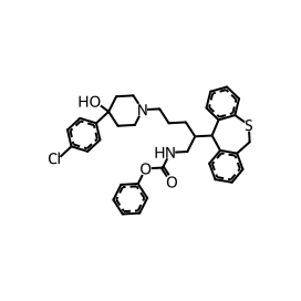 O=C(NCC(CCCN1CCC(O)(c2ccc(Cl)cc2)CC1)C1c2ccccc2CSc2ccccc21)Oc1ccccc1